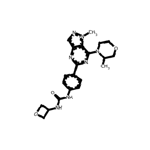 CC1COCCN1c1nc(-c2ccc(NC(=O)NC3COC3)cc2)nc2cnn(C)c12